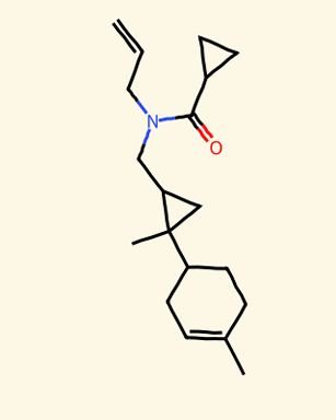 C=CCN(CC1CC1(C)C1CC=C(C)CC1)C(=O)C1CC1